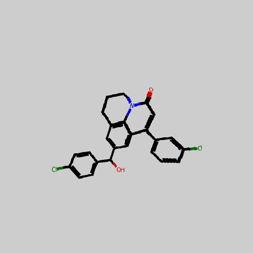 O=c1cc(-c2cccc(Cl)c2)c2cc(C(O)c3ccc(Cl)cc3)cc3c2n1CCC3